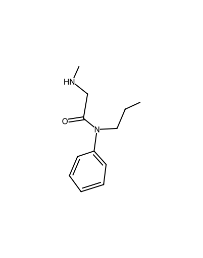 CCCN(C(=O)CNC)c1ccccc1